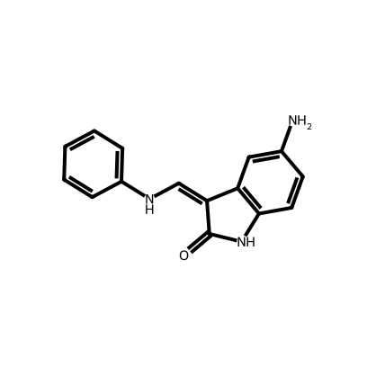 Nc1ccc2c(c1)C(=CNc1ccccc1)C(=O)N2